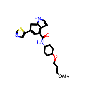 COCCCO[C@H]1CC[C@H](NC(=O)c2cc(-c3cncs3)cc3[nH]ccc23)CC1